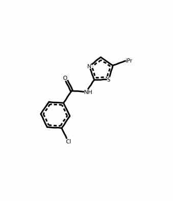 CC(C)c1cnc(NC(=O)c2cccc(Cl)c2)s1